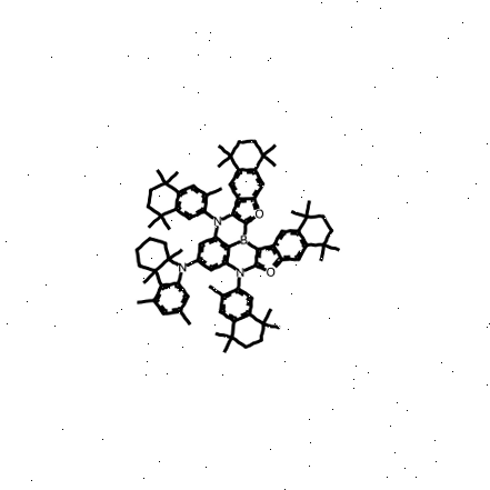 Cc1cc(C)c2c(c1)N(c1cc3c4c(c1)N(c1cc5c(cc1C)C(C)(C)CCC5(C)C)c1c(oc5cc6c(cc15)C(C)(C)CCC6(C)C)B4c1c(oc4cc5c(cc14)C(C)(C)CCC5(C)C)N3c1cc3c(cc1C)C(C)(C)CCC3(C)C)C1(C)CCCCC21C